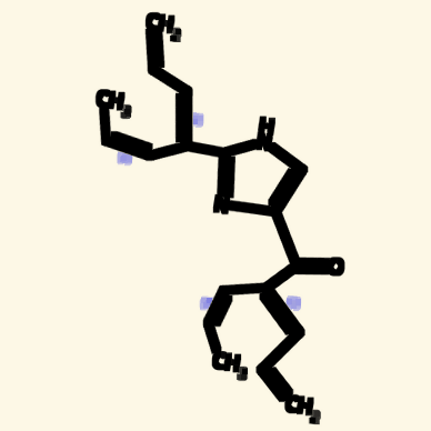 C=C/C=C(\C=C/C)C(=O)c1c[nH]c(C(/C=C\C)=C/C=C)n1